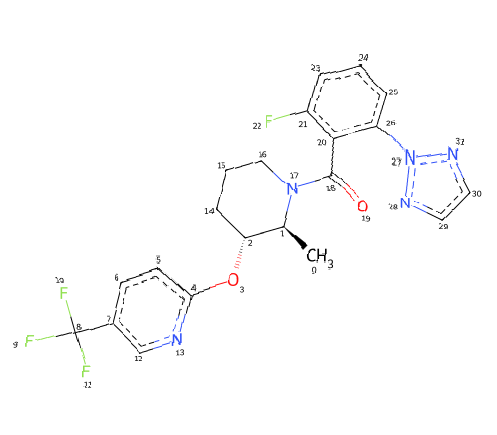 C[C@H]1[C@H](Oc2ccc(C(F)(F)F)cn2)CCCN1C(=O)c1c(F)cccc1-n1nccn1